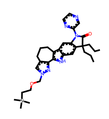 CCCC1(CCC)C(=O)N(c2cnccn2)c2cc3c4c([nH]c3cc21)-c1nn(COCC[Si](C)(C)C)cc1CCC4